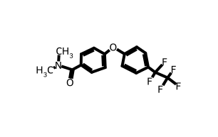 CN(C)C(=O)c1ccc(Oc2ccc(C(F)(F)C(F)(F)F)cc2)cc1